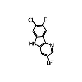 Fc1cc2c(cc1Cl)[nH]c1cc(Br)cnc12